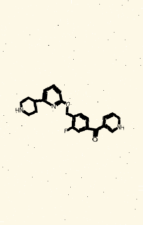 O=C(C1=CNCC=C1)c1ccc(COc2cccc(C3CCNCC3)n2)c(F)c1